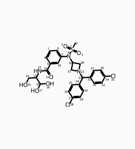 CS(=O)(=O)N(c1cccc(C(=O)NC(CO)C(O)O)c1)C1CN(C(c2ccc(Cl)cc2)c2ccc(Cl)cc2)C1